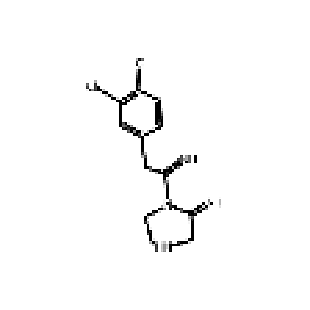 N=C1CNCCN1C(=N)Cc1ccc(Cl)c(Cl)c1